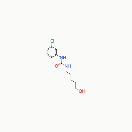 O=C(NCCCCCO)Nc1cccc(Cl)c1